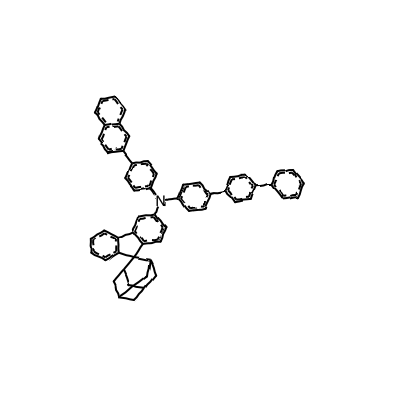 c1ccc(-c2ccc(-c3ccc(N(c4ccc(-c5ccc6ccccc6c5)cc4)c4ccc5c(c4)-c4ccccc4C54C5CC6CC(C5)CC4C6)cc3)cc2)cc1